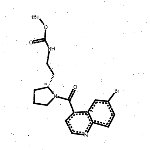 CC(C)(C)OC(=O)NCC[C@H]1CCCN1C(=O)c1ccnc2ccc(Br)cc12